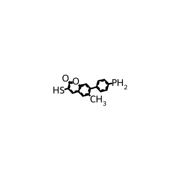 Cc1cc2cc(S)c(=O)oc2cc1-c1ccc(P)cc1